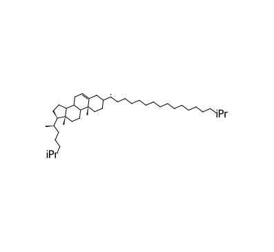 CC(C)CCCCCCCCCCCCCC[CH]C1CC[C@@]2(C)C(=CCC3C2CC[C@@]2(C)C3CC[C@@H]2[C@H](C)CCCC(C)C)C1